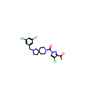 CC(=O)c1nn(C(=O)N2CCC3(CCN(Cc4cc(Cl)cc(Cl)c4)C3)CC2)cc1Cl